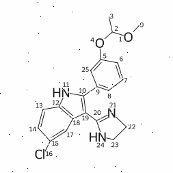 COC(C)Oc1cccc(-c2[nH]c3ccc(Cl)cc3c2C2=NCCN2)c1